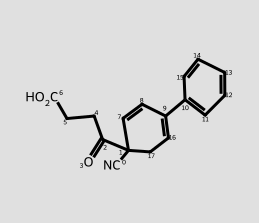 N#CC1(C(=O)CCC(=O)O)C=CC(c2ccccc2)=CC1